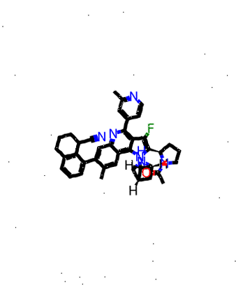 CC(=O)N1CCC[C@@H]1c1c(F)c2c(-c3ccnc(C)c3)nc3cc(-c4cccc5c4C(C#N)CCC5)c(C)cc3c2n1[C@H]1[C@H]2CN[C@@H]1C2